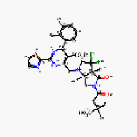 CCOC(=O)C1=C(CN2CC(F)(F)[C@@H]3C(=O)N(C(=O)CC(C)(C)C(=O)O)C[C@@H]32)NC(c2nccs2)=N[C@H]1c1cccc(F)c1C